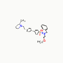 COCCN(Cc1ccccc1)S(=O)(=O)c1ccc(-c2ccc(CCN3CCC[C@H]3C)cc2)cc1